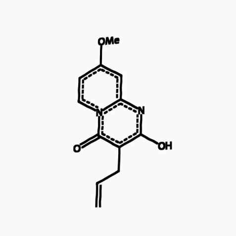 C=CCc1c(O)nc2cc(OC)ccn2c1=O